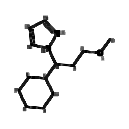 COCCC(C1CCCCC1)n1cccn1